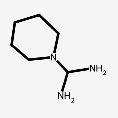 NC(N)N1CCCCC1